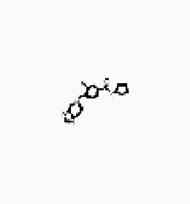 Cc1cc(C(=O)NC2CCCC2)ccc1Cn1ccc2ncnc-2c1